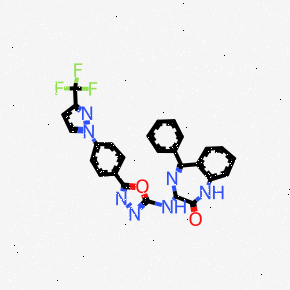 O=C1Nc2ccccc2C(c2ccccc2)=NC1Nc1nnc(-c2ccc(-n3ccc(C(F)(F)F)n3)cc2)o1